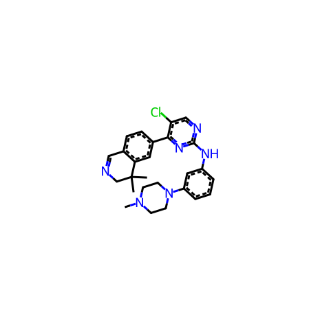 CN1CCN(c2cccc(Nc3ncc(Cl)c(-c4ccc5c(c4)C(C)(C)CN=C5)n3)c2)CC1